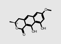 COc1cc(O)c2c(O)c3c(cc2c1)C[C@H](C)OC3=O